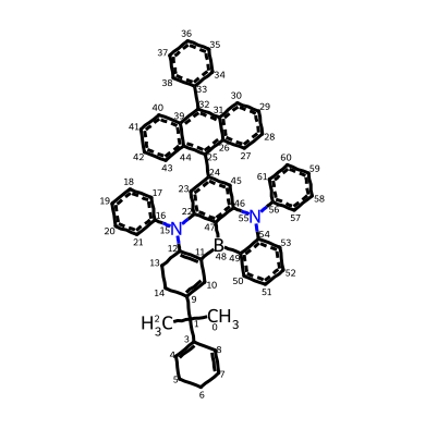 CC(C)(C1=CCCC=C1)C1=CC2=C(CC1)N(c1ccccc1)c1cc(-c3c4ccccc4c(-c4ccccc4)c4ccccc34)cc3c1B2c1ccccc1N3c1ccccc1